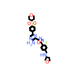 Nc1ncc(-c2ccc(S(=O)(=O)C3CCOCC3)cc2)nc1-c1nnc(-c2ccc(CN[C@@H]3CCOC3)cc2F)o1